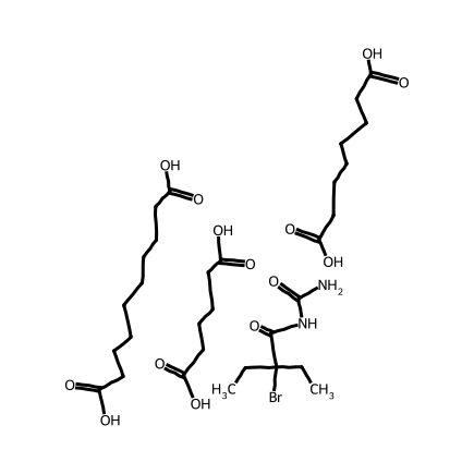 CCC(Br)(CC)C(=O)NC(N)=O.O=C(O)CCCCC(=O)O.O=C(O)CCCCCCC(=O)O.O=C(O)CCCCCCCCC(=O)O